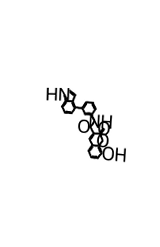 O=C(Nc1cccc(-c2cccc3[nH]ccc23)c1)c1cc2cccc(O)c2oc1=O